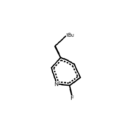 CC(C)(C)Cc1ccc(F)nc1